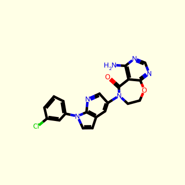 Nc1ncnc2c1C(=O)N(c1cnc3c(ccn3-c3cccc(Cl)c3)c1)CCO2